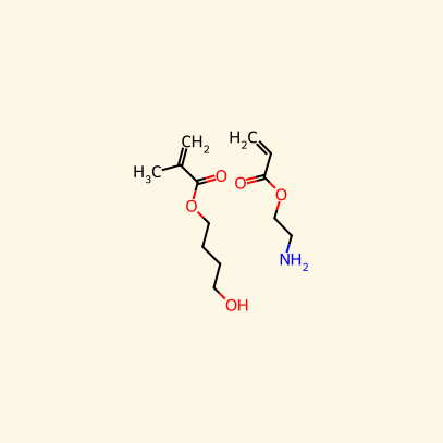 C=C(C)C(=O)OCCCCO.C=CC(=O)OCCN